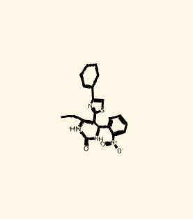 CCC1=C(c2nc(C3CCCCC3)cs2)C(c2ccccc2[N+](=O)[O-])NC(=O)N1